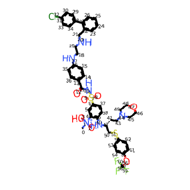 C[N+]([O-])(O)c1cc(S(=O)(=O)NC(=O)c2ccc(NCCNCc3ccccc3-c3ccc(Cl)cc3)cc2)ccc1N[C@H](CCN1CCOCC1)CSc1ccc(OC(F)(F)F)cc1